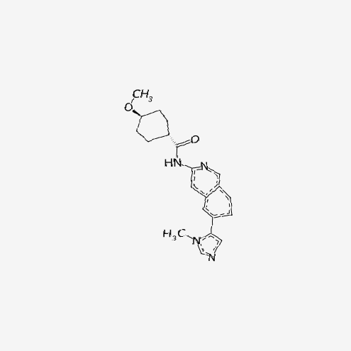 CO[C@H]1CC[C@H](C(=O)Nc2cc3cc(-c4cncn4C)ccc3cn2)CC1